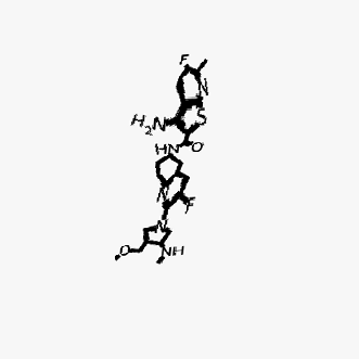 CNC1CN(c2nc3c(cc2F)CC(NC(=O)c2sc4nc(C)c(F)cc4c2N)CC3)CC1COC